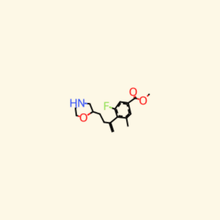 C=C(CCC1CNCCO1)c1c(C)cc(C(=O)OC)cc1F